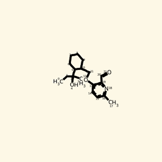 CCC(C)(O)C1CCCCC1COc1ccc(C)nc1C=O